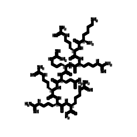 N=C(N)NCCC[C@H](NC(=O)[C@H](CCCNC(=N)N)NC(=O)[C@H](CCCNC(=N)N)NC(=O)[C@H](CCC(N)=O)NC(=O)[C@H](CCCNC(=N)N)NC(=O)[C@H](CCCNC(=N)N)NC(=O)[C@H](CCCNC(=N)N)NC(=O)[C@@H](N)CCCCN)C(N)=O